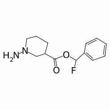 NN1CCCC(C(=O)OC(F)c2ccccc2)C1